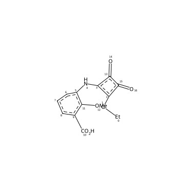 CCOc1c(Nc2cccc(C(=O)O)c2OC)c(=O)c1=O